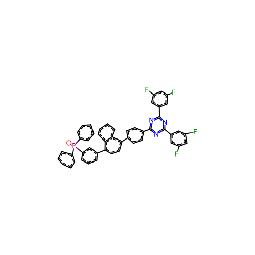 O=P(c1ccccc1)(c1ccccc1)c1cccc(-c2ccc(-c3ccc(-c4nc(-c5cc(F)cc(F)c5)nc(-c5cc(F)cc(F)c5)n4)cc3)c3ccccc23)c1